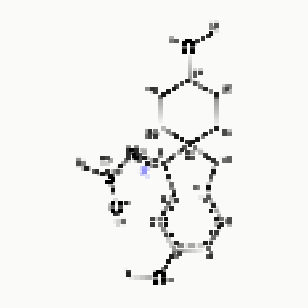 COc1ccc2c(c1)/C(=N\[S+](C)[O-])C1(CCC(OC)CC1)C2